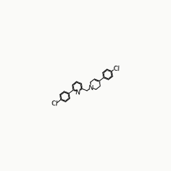 Clc1ccc(C2=CCN(Cc3cccc(-c4ccc(Cl)cc4)n3)CC2)cc1